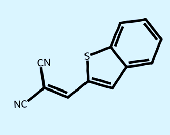 N#CC(C#N)=Cc1cc2ccccc2s1